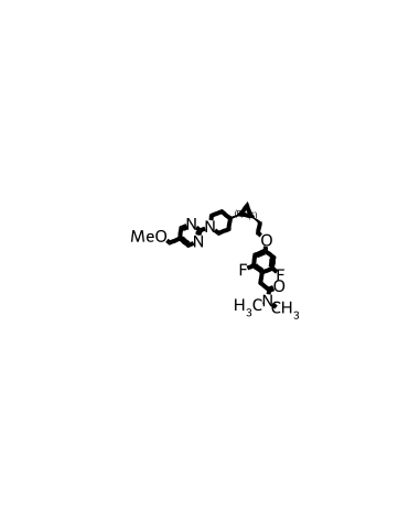 COCc1cnc(N2CCC([C@H]3C[C@H]3CCOc3cc(F)c(CC(=O)N(C)C)c(F)c3)CC2)nc1